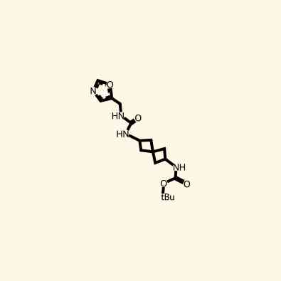 CC(C)(C)OC(=O)NC1CC2(CC(NC(=O)NCc3cnco3)C2)C1